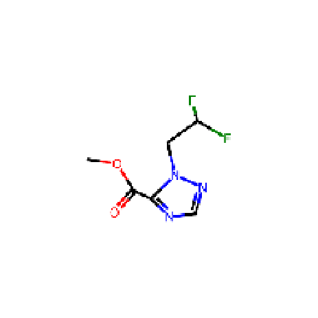 COC(=O)c1ncnn1CC(F)F